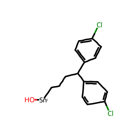 [OH][Sn][CH2]CCC(c1ccc(Cl)cc1)c1ccc(Cl)cc1